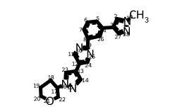 Cn1cc(-c2cccc(-c3ncc(-c4cnn(C5CCCOC5)c4)cn3)c2)cn1